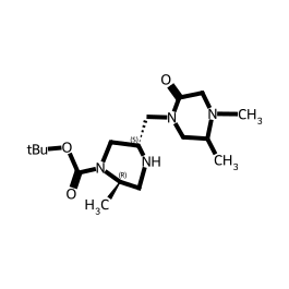 CC1CN(C[C@H]2CN(C(=O)OC(C)(C)C)[C@H](C)CN2)C(=O)CN1C